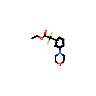 CCOC(=O)C(F)(F)c1cccc(N2CCOCC2)c1